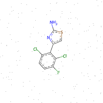 Nc1nc(-c2c(Cl)ccc(F)c2Cl)cs1